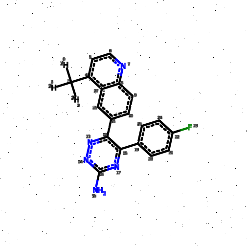 [2H]C([2H])([2H])c1ccnc2ccc(-c3nnc(N)nc3-c3ccc(F)cc3)cc12